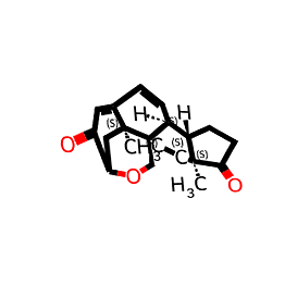 C[C@@]12CC3OC[C@@]14CC[C@]1(C)C(=O)CC[C@H]1[C@@H]4C=CC2=CC3=O